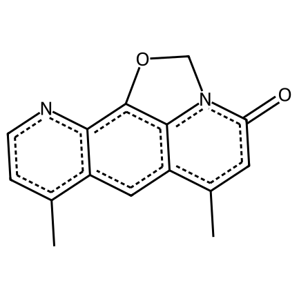 Cc1ccnc2c3c4c(cc12)c(C)cc(=O)n4CO3